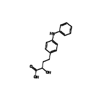 O=C(O)C(O)CCc1ccc(Nc2ccccc2)cc1